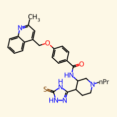 CCCN1CCC(c2n[nH]c(=S)[nH]2)C(NC(=O)c2ccc(OCc3cc(C)nc4ccccc34)cc2)C1